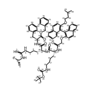 B#P(F)NC(=N)NCCC[C@@H](NC(=O)[C@@H](CCCCNC(=O)OC(C)(C)C)NC(=O)COc1ccc2ccccc2c1-c1c(OCCC(C)C)ccc2ccccc12)C(=O)N[C@@H](Cc1ccccc1)C(=O)OCc1ccccc1